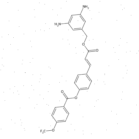 Nc1cc(N)cc(COC(=O)C=Cc2ccc(OC(=O)c3ccc(OC(F)(F)F)cc3)cc2)c1